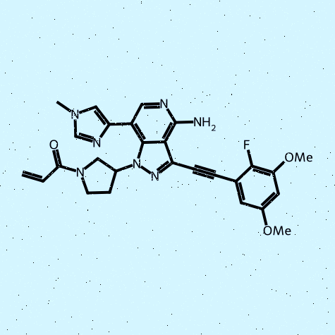 C=CC(=O)N1CCC(n2nc(C#Cc3cc(OC)cc(OC)c3F)c3c(N)ncc(-c4cn(C)cn4)c32)C1